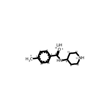 Cc1ccc(C(=O)NC2CCNCC2)cc1.[LiH]